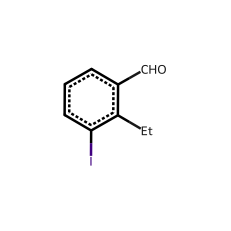 CCc1c(I)cccc1C=O